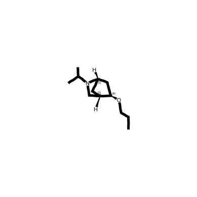 CCCO[C@@H]1C[C@@H]2C[C@H]1CN2C(C)C